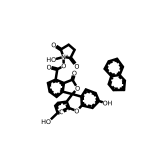 O=C(O[N+]1(O)C(=O)CCC1=O)c1cccc2c1C(=O)OC21c2ccc(O)cc2Oc2cc(O)ccc21.c1ccc2ccccc2c1